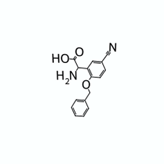 N#Cc1ccc(OCc2ccccc2)c(C(N)C(=O)O)c1